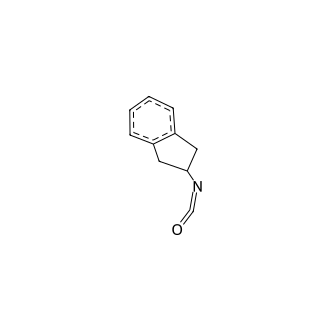 O=C=NC1Cc2ccccc2C1